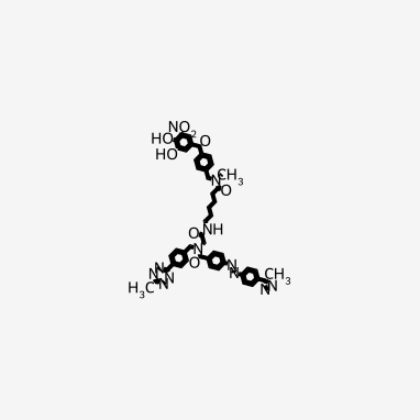 Cc1nnc(-c2ccc(CN(CC(=O)NCCCCCC(=O)N(C)Cc3ccc(C(=O)c4cc(O)c(O)c([N+](=O)[O-])c4)cc3)C(=O)c3ccc(/N=N/c4ccc(C5(C)N=N5)cc4)cc3)cc2)nn1